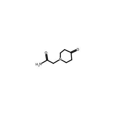 NC(=O)CN1CCC(=O)CC1